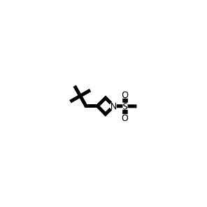 CC(C)(C)CC1CN(S(C)(=O)=O)C1